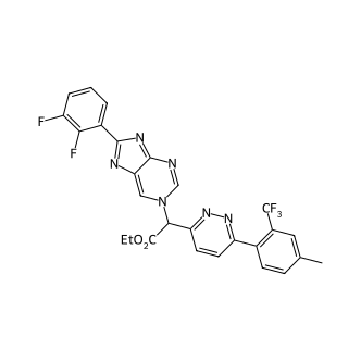 CCOC(=O)C(c1ccc(-c2ccc(C)cc2C(F)(F)F)nn1)n1cnc2nc(-c3cccc(F)c3F)nc-2c1